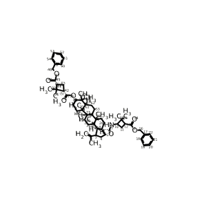 C=C(C)C1CC[C@]2(C(=O)NC3CC(C(=O)OCc4ccccc4)C3(C)C)CC[C@]3(C)[C@H](CC[C@@H]4[C@@]5(C)CC[C@H](OC(=O)[C@H]6C[C@@H](C(=O)OCc7ccccc7)C6(C)C)C(C)(C)[C@@H]5CC[C@]43C)[C@@H]12